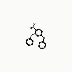 O=[N+]([O-])c1ccc(Oc2ccccc2)cc1Oc1ccccc1